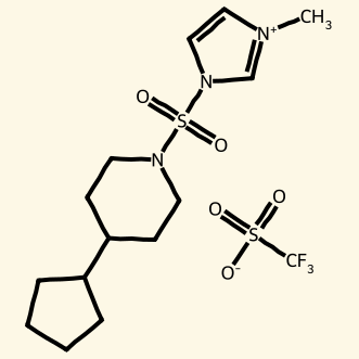 C[n+]1ccn(S(=O)(=O)N2CCC(C3CCCC3)CC2)c1.O=S(=O)([O-])C(F)(F)F